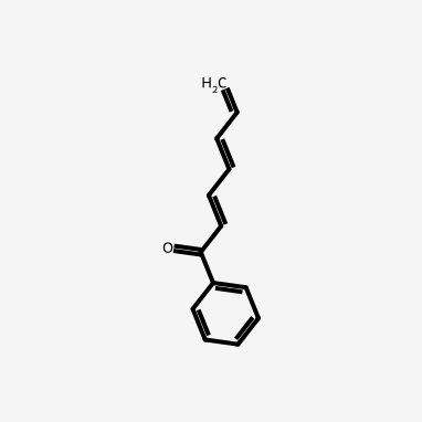 C=CC=CC=CC(=O)c1ccccc1